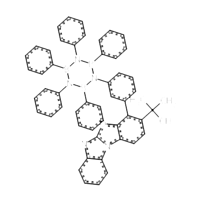 CC(C)(C)c1ccc2c(oc3nc4ccccc4n32)c1-c1cccc(N2B(c3ccccc3)N(c3ccccc3)B(c3ccccc3)N(c3ccccc3)B2c2ccccc2)c1